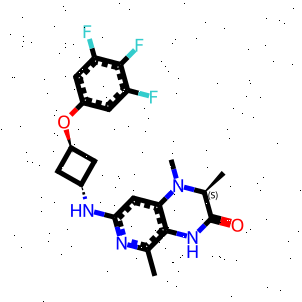 Cc1nc(N[C@H]2C[C@H](Oc3cc(F)c(F)c(F)c3)C2)cc2c1NC(=O)[C@H](C)N2C